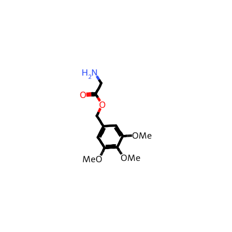 COc1cc(COC(=O)CN)cc(OC)c1OC